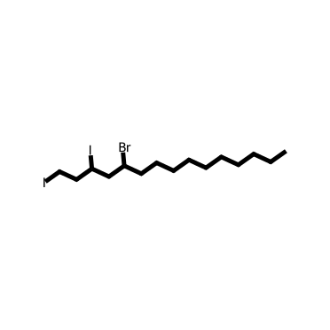 CCCCCCCCCCC(Br)CC(I)CCI